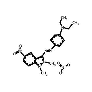 CCN(CC)c1ccc(N=Nc2c3cc([N+](=O)[O-])ccc3[n+](C)n2C)cc1.O=[N+]([O-])[O-]